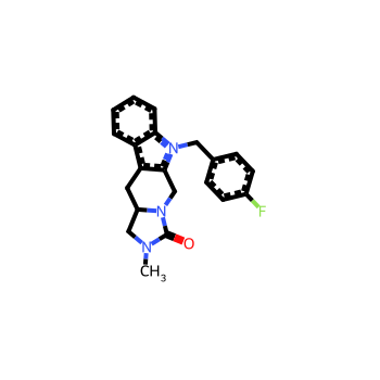 CN1CC2Cc3c(n(Cc4ccc(F)cc4)c4ccccc34)CN2C1=O